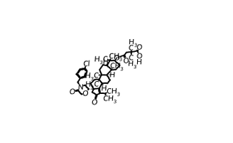 CC(C)C1=C2[C@H]3CC[C@@H]4[C@@]5(C)CC[C@H](OC(=O)CC(C)(C)C(=O)O)C(C)(C)[C@@H]5CC[C@@]4(C)[C@]3(C)CCC2([C@H]2CN(Cc3ccc(Cl)cc3)C(=O)CO2)CC1=O